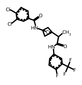 CC(C(=O)Nc1ccc(F)c(C(F)(F)F)c1)C12CC(NC(=O)c3ccc(Cl)c(Cl)c3)(C1)C2